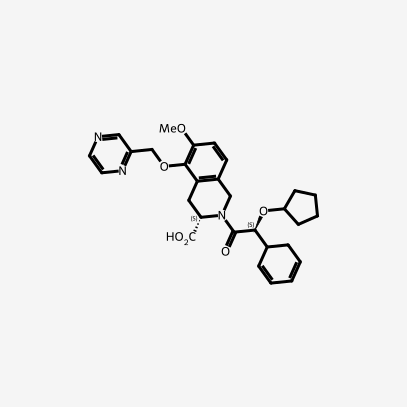 COc1ccc2c(c1OCc1cnccn1)C[C@@H](C(=O)O)N(C(=O)[C@@H](OC1CCCC1)C1C=CC=CC1)C2